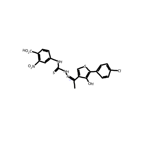 C/C(=N/NC(=S)Nc1ccc(C(=O)O)c([N+](=O)[O-])c1)c1csc(-c2ccc(Cl)cc2)c1O